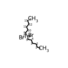 CCCCCC[Te](Br)(Br)CCCCCC